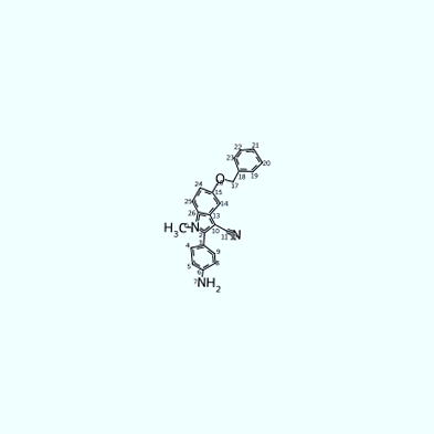 Cn1c(-c2ccc(N)cc2)c(C#N)c2cc(OCc3ccccc3)ccc21